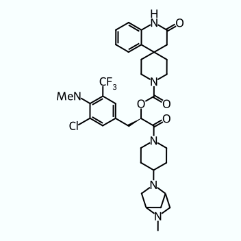 CNc1c(Cl)cc(C[C@@H](OC(=O)N2CCC3(CC2)CC(=O)Nc2ccccc23)C(=O)N2CCC(N3CC4CC3CN4C)CC2)cc1C(F)(F)F